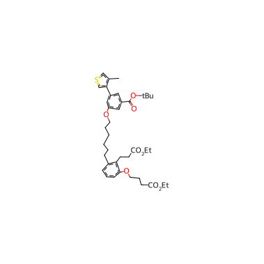 CCOC(=O)CCCOc1cccc(CCCCCCOc2cc(C(=O)OC(C)(C)C)cc(-c3cscc3C)c2)c1CCC(=O)OCC